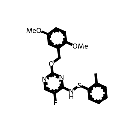 COc1ccc(OC)c(COc2ncc(F)c(NSc3ccccc3C)n2)c1